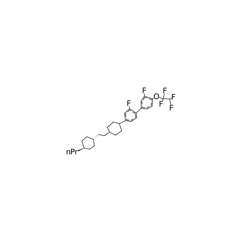 CCC[C@H]1CC[C@H](CCC2CCC(c3ccc(-c4ccc(OC(F)(F)C(F)F)c(F)c4)c(F)c3)CC2)CC1